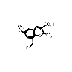 CC(C)Cc1cc(OC(F)(F)F)cc2c1OC(C(F)(F)F)C(C(=O)O)=C2